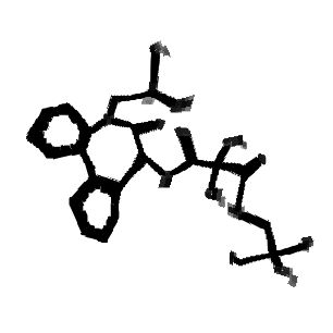 CC(C)(C(=O)NCC(F)(F)C(F)(F)F)C(=O)NC1C(=O)N(C[C@H](O)C(F)(F)F)c2ccccc2-c2ccccc21